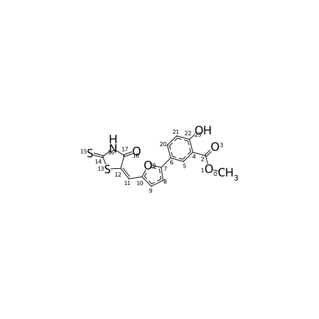 COC(=O)c1cc(-c2ccc(C=C3SC(=S)NC3=O)o2)ccc1O